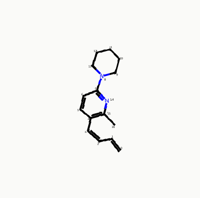 C=C/C=C\c1ccc(N2CCCCC2)nc1C